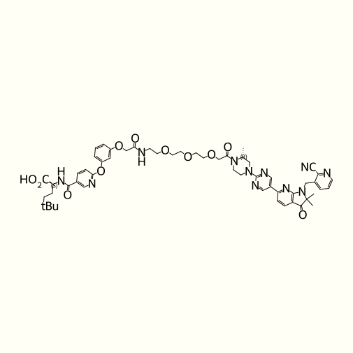 C[C@@H]1CN(c2ncc(-c3ccc4c(n3)N(Cc3cccnc3C#N)C(C)(C)C4=O)cn2)CCN1C(=O)COCCOCCOCCNC(=O)COc1cccc(Oc2ccc(C(=O)N[C@@H](CCC(C)(C)C)C(=O)O)cn2)c1